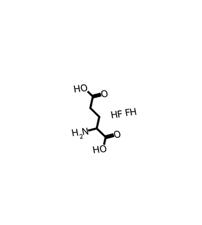 F.F.NC(CCC(=O)O)C(=O)O